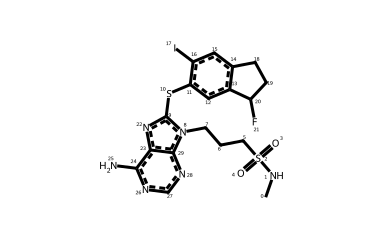 CNS(=O)(=O)CCCn1c(Sc2cc3c(cc2I)CCC3F)nc2c(N)ncnc21